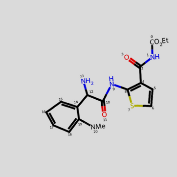 CCOC(=O)NC(=O)c1ccsc1NC(=O)C(N)c1ccccc1NC